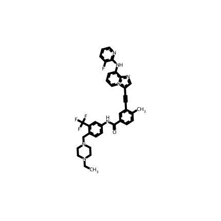 CCN1CCN(Cc2ccc(NC(=O)c3ccc(C)c(C#Cc4cnc5c(Nc6ncccc6F)cccn45)c3)cc2C(F)(F)F)CC1